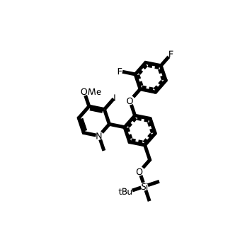 COC1=C(I)C(c2cc(CO[Si](C)(C)C(C)(C)C)ccc2Oc2ccc(F)cc2F)N(C)C=C1